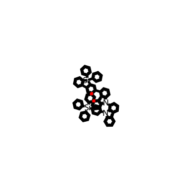 c1ccc([Si](c2ccccc2)(c2ccccc2)c2ccc(-n3c4ccccc4c4cccc(-n5c6ccccc6c6c(-c7ccc8c(c7)[Si](c7ccccc7)(c7ccccc7)c7ccccc7-8)cccc65)c43)cc2)cc1